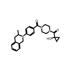 CC1Cc2ccccc2CN1c1ccc(C(=O)N2CCN(C(=O)C3(O)CC3)CC2)cc1